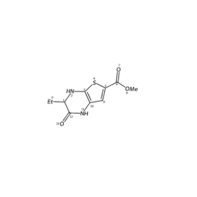 CCC1Nc2sc(C(=O)OC)cc2NC1=O